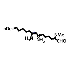 CCCCCCCCCCCCCCC/C(N)=C/N(N)CCCCC(C=O)NC